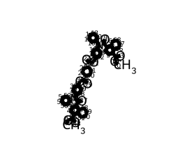 COC(=O)c1ccc(C(=O)N(c2ccccc2)c2ccc(OC(=O)[C@H]3CC[C@H](C(=O)Oc4ccc(N(C(=O)c5ccc(C(=O)OC)c6c5CCCC6)c5ccccc5)cc4)CC3)cc2)c2c1CCCC2